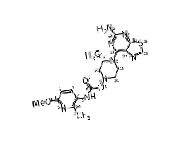 COc1ccc(NC(=O)ON2CCN(c3nc(N)nc4scnc34)[C@@H](C)C2)c(C(F)(F)F)n1